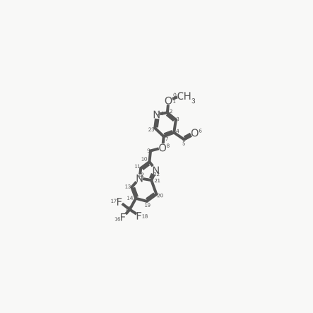 COc1cc(C=O)c(OCc2cn3cc(C(F)(F)F)ccc3n2)cn1